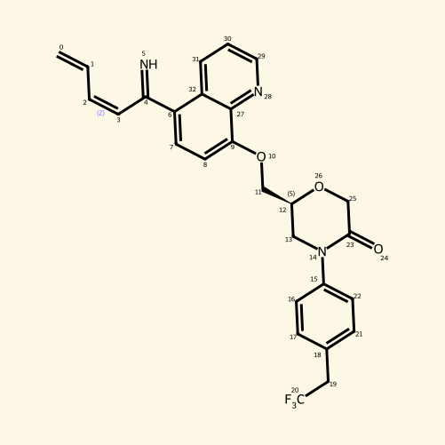 C=C/C=C\C(=N)c1ccc(OC[C@@H]2CN(c3ccc(CC(F)(F)F)cc3)C(=O)CO2)c2ncccc12